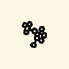 c1ccc(-c2ccccc2N(c2ccccc2)c2ccc3c(c2)-c2cc(-c4ccccc4)c4ccccc4c2C3(c2ccccc2)c2ccccc2)cc1